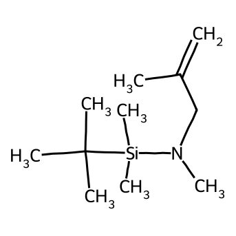 C=C(C)CN(C)[Si](C)(C)C(C)(C)C